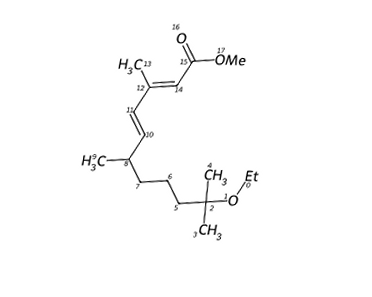 CCOC(C)(C)CCCC(C)C=CC(C)=CC(=O)OC